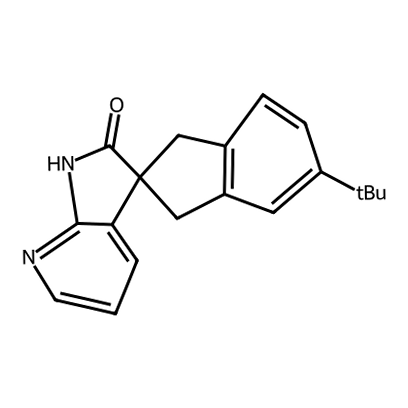 CC(C)(C)c1ccc2c(c1)CC1(C2)C(=O)Nc2ncccc21